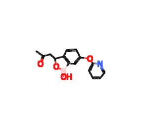 CC(=O)CC1OB(O)c2cc(Oc3ccccn3)ccc21